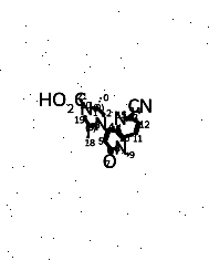 C[C@@H]1CN(c2cc(=O)n(C)c3ccc(C#N)nc23)[C@@H](C)CN1C(=O)O